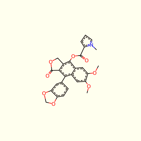 COc1cc2c(OC(=O)c3cccn3C)c3c(c(-c4ccc5c(c4)OCO5)c2cc1OC)C(=O)OC3